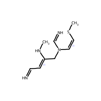 CN/C(=C\C=N)CN(C=N)/C=C\SC